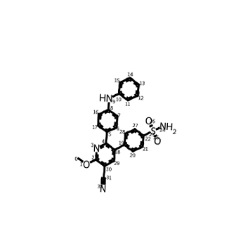 COc1nc(-c2ccc(Nc3ccccc3)cc2)c(-c2ccc(S(N)(=O)=O)cc2)cc1C#N